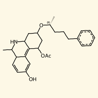 CC(=O)OC1CC(O[C@H](C)CCCc2ccccc2)CC2NC(C)C3C=CC(O)=CC3=C21